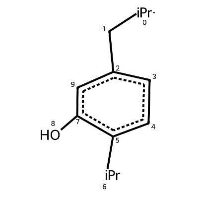 C[C](C)Cc1ccc(C(C)C)c(O)c1